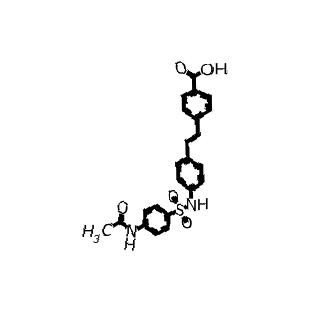 CC(=O)Nc1ccc(S(=O)(=O)Nc2ccc(CCc3ccc(C(=O)O)cc3)cc2)cc1